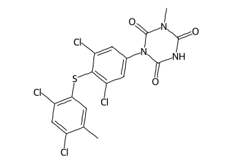 Cc1cc(Sc2c(Cl)cc(-n3c(=O)[nH]c(=O)n(C)c3=O)cc2Cl)c(Cl)cc1Cl